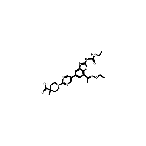 CCNC(=O)Nc1nc2cc(-c3cnc(N4CCC(C)(C(=O)O)CC4)nc3)cc(C(C)=NOCC)c2s1